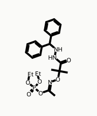 CCOP(=O)(OCC)O/C(C)=N/OC(C)(C)C(=O)NNC(c1ccccc1)c1ccccc1